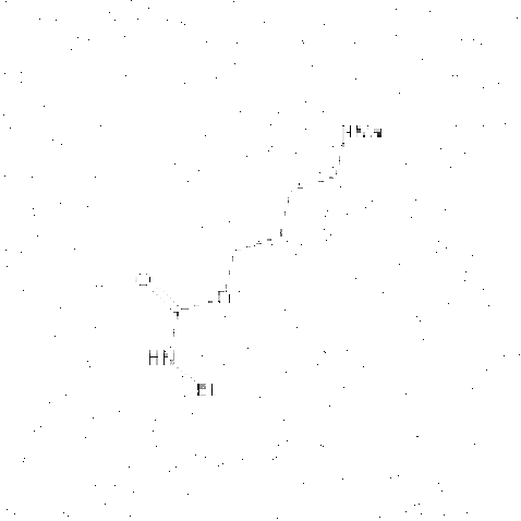 CCNC(=O)OCCCCNC